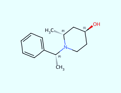 C[C@@H]1C[C@@H](O)CCN1[C@H](C)c1ccccc1